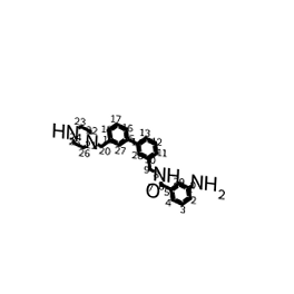 Nc1cccc(C(=O)NCc2cccc(-c3cccc(CN4CCNCC4)c3)c2)c1